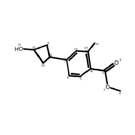 COC(=O)c1ccc(C2CC(O)C2)cc1C